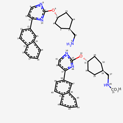 NC[C@H]1CC[C@H](Oc2nccc(-c3ccc4ccccc4c3)n2)CC1.O=C(O)NC[C@H]1CC[C@H](Oc2nccc(-c3ccc4ccccc4c3)n2)CC1